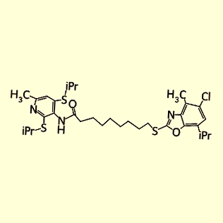 Cc1cc(SC(C)C)c(NC(=O)CCCCCCCCSc2nc3c(C)c(Cl)cc(C(C)C)c3o2)c(SC(C)C)n1